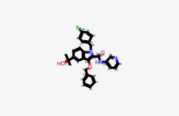 CC(C)(O)c1ccc2c(c1)c(OCc1ccccc1)c(C(=O)Nc1cccnc1)n2Cc1ccc(F)cc1